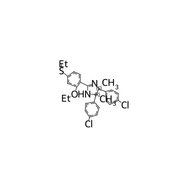 CCOc1cc(SCC)ccc1C1=N[C@@](C)(c2ccc(Cl)cc2)[C@@](C)(c2ccc(Cl)cc2)N1